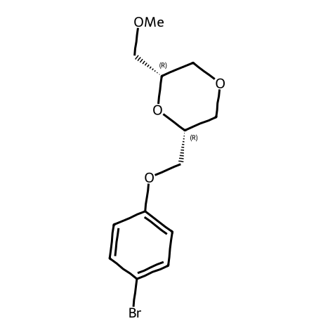 COC[C@@H]1COC[C@H](COc2ccc(Br)cc2)O1